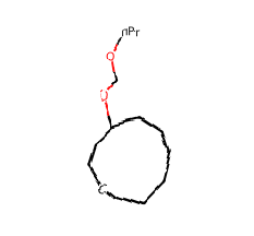 CCCOCOC1CCCCCCCCC1